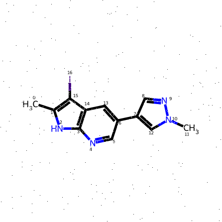 Cc1[nH]c2ncc(-c3cnn(C)c3)cc2c1I